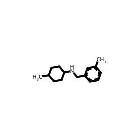 Cc1cccc(CNC2CCC(C)CC2)c1